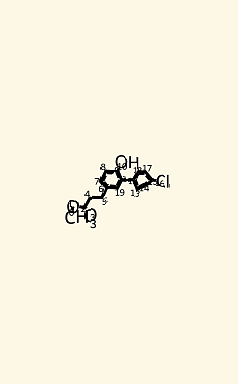 COC(=O)CCc1ccc(O)c(-c2ccc(Cl)cc2)c1